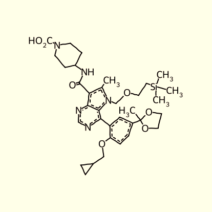 Cc1c(C(=O)NC2CCN(C(=O)O)CC2)c2ncnc(-c3cc(C4(C)OCCO4)ccc3OCC3CC3)c2n1COCC[Si](C)(C)C